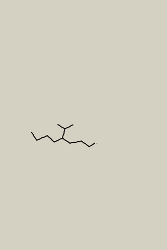 [CH2]CCCC(CCCC)C(C)C